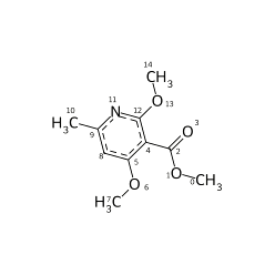 COC(=O)c1c(OC)cc(C)nc1OC